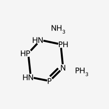 N.P.n1p[nH][pH][nH][pH]1